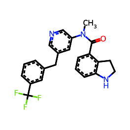 CN(C(=O)c1cccc2c1CCN2)c1cncc(Cc2cccc(C(F)(F)F)c2)c1